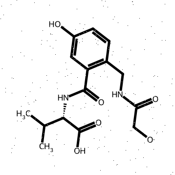 CC(C)[C@H](NC(=O)c1cc(O)ccc1CNC(=O)C[O])C(=O)O